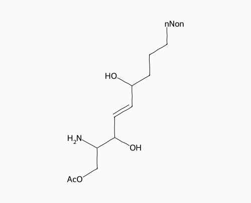 CCCCCCCCCCCCC(O)C=CC(O)C(N)COC(C)=O